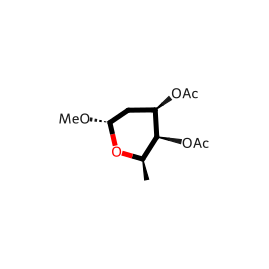 CO[C@@H]1C[C@@H](OC(C)=O)[C@@H](OC(C)=O)[C@@H](C)O1